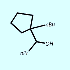 CCCCC1(C(O)CCC)CCCC1